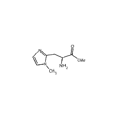 COC(=O)C(N)Cc1nccn1C